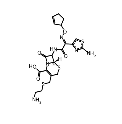 NCCSCC1=C(C(=O)O)N2C(=O)C(NC(=O)C(=NOC3C=CCC3)c3csc(N)n3)[C@@H]2SC1